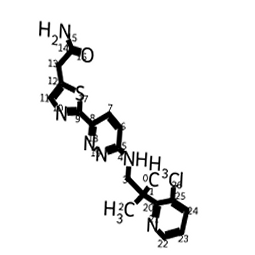 CC(C)(CNc1ccc(-c2ncc(CC(N)=O)s2)nn1)c1ncccc1Cl